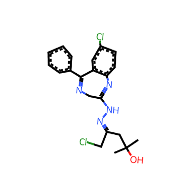 CC(C)(O)C/C(CCl)=N\NC1=Nc2ccc(Cl)cc2C(c2ccccc2)=NC1